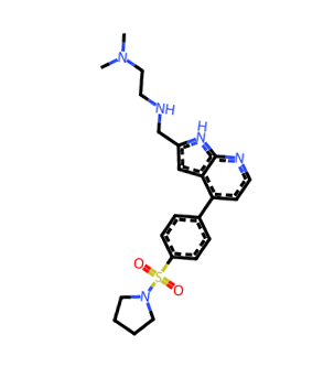 CN(C)CCNCc1cc2c(-c3ccc(S(=O)(=O)N4CCCC4)cc3)ccnc2[nH]1